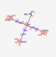 CC(=O)NC1C(OCCCCC(=O)NCCCNC(=O)CCOCC(COCCC(=O)NCCCNC(=O)CCCCOC2OC(CO)C(O)C(O)C2NC(C)=O)(COCCC(=O)NCCCNC(=O)CCCCOC2OC(CO)C(O)C(O)C2NC(C)=O)NC(=O)CCCCCCCCC(=O)N2CC(P)C[C@H]2CCC(C)(C)C)OC(CO)C(O)C1O